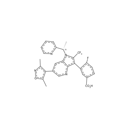 Cc1noc(C)c1-c1cnc2c(-c3cc(C(=O)O)ccc3F)c(C(F)(F)F)n([C@@H](C)c3ccccn3)c2c1